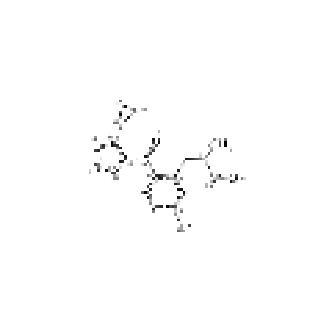 CC(Cc1cc(Br)ccc1C(=O)c1cnoc1C1CC1)[S+]=O